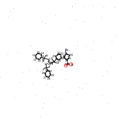 CC(C)([CH2][Sn+]([CH2]C(C)(C)c1ccccc1)[CH2]C(C)(C)c1ccccc1)c1ccccc1.O=C([O-])c1ccc(I)cc1